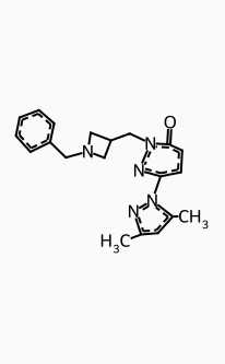 Cc1cc(C)n(-c2ccc(=O)n(CC3CN(Cc4ccccc4)C3)n2)n1